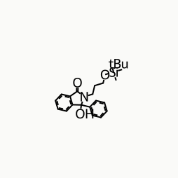 CC(C)(C)[Si](C)(C)OCCCN1C(=O)c2ccccc2C1(O)c1ccccc1